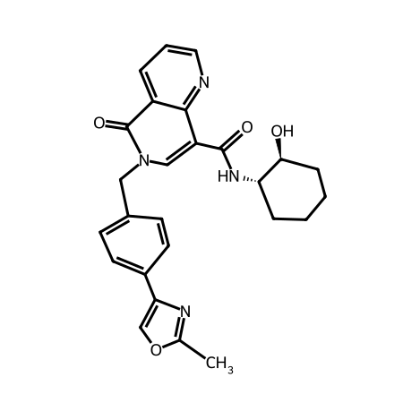 Cc1nc(-c2ccc(Cn3cc(C(=O)N[C@H]4CCCC[C@@H]4O)c4ncccc4c3=O)cc2)co1